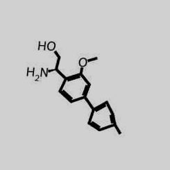 COc1cc(-c2ccc(C)cc2)ccc1[C@@H](N)CO